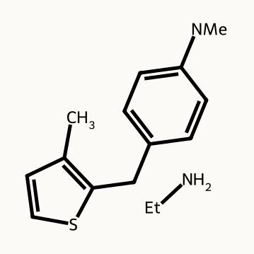 CCN.CNc1ccc(Cc2sccc2C)cc1